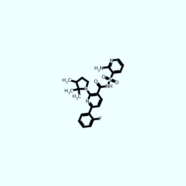 CC1CCN(c2nc(-c3ccccc3F)ccc2C(=O)NS(=O)(=O)c2cccnc2N)C1(C)C